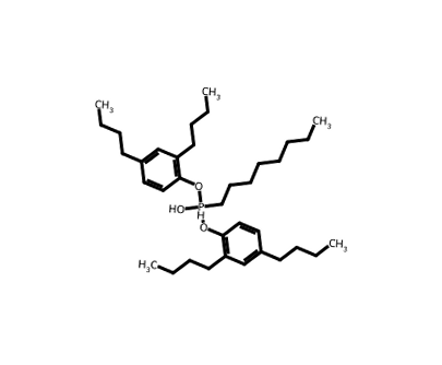 CCCCCCCC[PH](O)(Oc1ccc(CCCC)cc1CCCC)Oc1ccc(CCCC)cc1CCCC